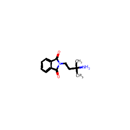 CC(C)(N)CCN1C(=O)c2ccccc2C1=O